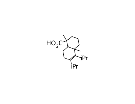 CC(C)C1=C(C(C)C)C2(C)CCCC(C)(C(=O)O)C2CC1